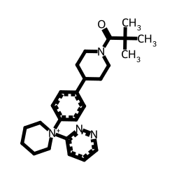 CC(C)(C)C(=O)N1CCC(c2ccc([N+]3(c4cccnn4)CCCCC3)cc2)CC1